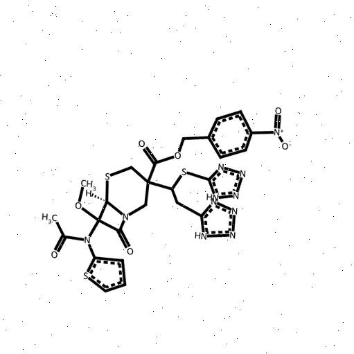 COC1(N(C(C)=O)c2cccs2)C(=O)N2CC(C(=O)OCc3ccc([N+](=O)[O-])cc3)(C(Cc3nnn[nH]3)Sc3nnn[nH]3)CS[C@@H]21